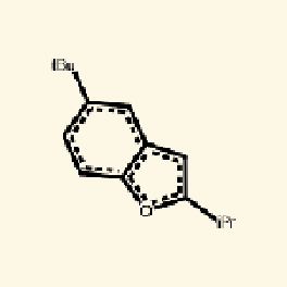 CC(C)c1cc2cc(C(C)(C)C)ccc2o1